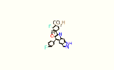 CC(C)Oc1c(-c2ccc(C(=O)O)c(F)c2)nc2cc3[nH]ncc3cc2c1-c1ccc(F)cc1